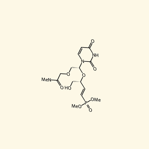 CNC(=O)COC[C@@H](O[C@H](/C=C/P(=O)(OC)OC)CO)n1ccc(=O)[nH]c1=O